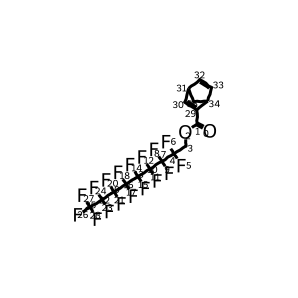 O=C(OCC(F)(F)C(F)(F)C(F)(F)C(F)(F)C(F)(F)C(F)(F)C(F)(F)C(F)(F)F)C1=CC2C=CC1C2